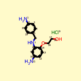 Cl.Nc1ccc(CNc2cc(N)ccc2OCCO)cc1